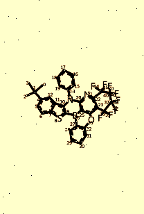 CC(C)(C)c1ccc2sc3c(c2c1)N(c1ccccc1)c1nc2c(c4c1B3c1ccccc1O4)C(F)(F)C(F)(F)C(F)(F)C2(F)F